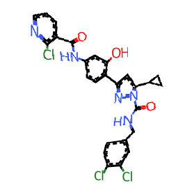 O=C(Nc1ccc(-c2cc(C3CC3)n(C(=O)NCc3ccc(Cl)c(Cl)c3)n2)c(O)c1)c1cccnc1Cl